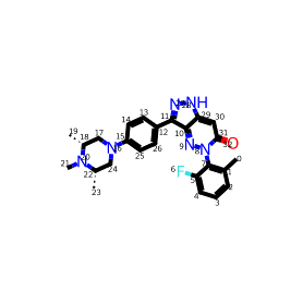 Cc1cccc(F)c1-n1nc2c(-c3ccc(N4C[C@@H](C)N(C)[C@@H](C)C4)cc3)n[nH]c2cc1=O